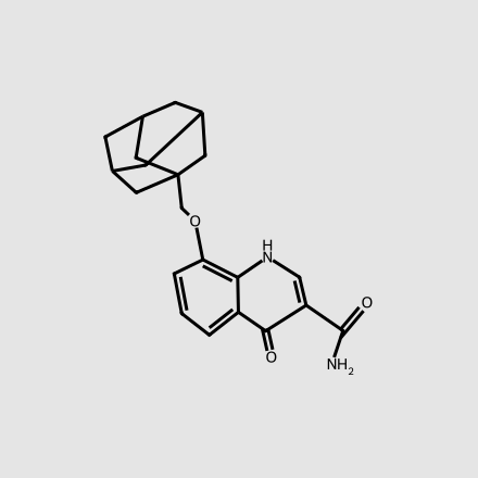 NC(=O)c1c[nH]c2c(OCC34CC5CC(CC(C5)C3)C4)cccc2c1=O